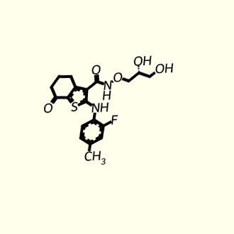 Cc1ccc(Nc2sc3c(c2C(=O)NOC[C@H](O)CO)CCCC3=O)c(F)c1